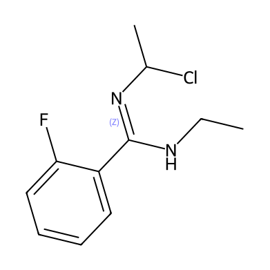 CCN/C(=N\C(C)Cl)c1ccccc1F